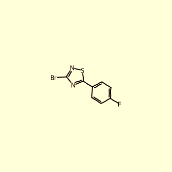 Fc1ccc(-c2nc(Br)ns2)cc1